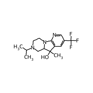 CC(C)N1CCN2c3ncc(C(F)(F)F)cc3C(C)(O)C2C1